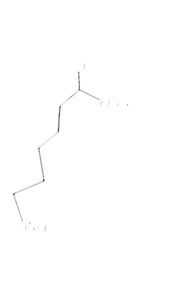 [CH2]CCCCCCCCCCCCCC(CC)CCCCC[CH2]